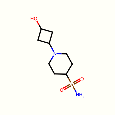 NS(=O)(=O)C1CCN(C2CC(O)C2)CC1